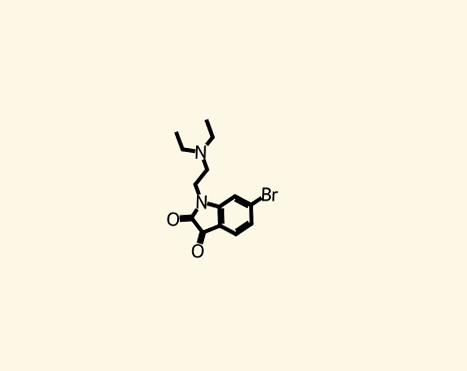 CCN(CC)CCN1C(=O)C(=O)c2ccc(Br)cc21